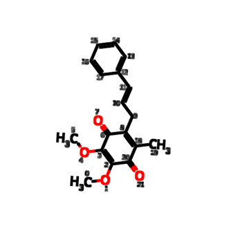 COC1=C(OC)C(=O)C(CC=Cc2ccccc2)=C(C)C1=O